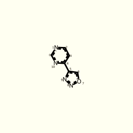 [c]1nccc(-c2conn2)n1